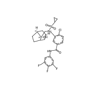 O=C(Nc1cc(F)c(F)c(F)c1)c1ccc(Cl)c(S[C@@H]2CC3CC[C@@H](C2)[C@@]3(O)CNS(=O)(=O)C2CC2)c1